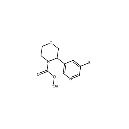 CC(C)(C)OC(=O)N1CCOCC1c1cncc(Br)c1